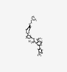 CN(C)CCOc1cnc(-c2cccc(CN(N)c3nc(-c4cnn(C)c4)cnc3N)c2)nc1